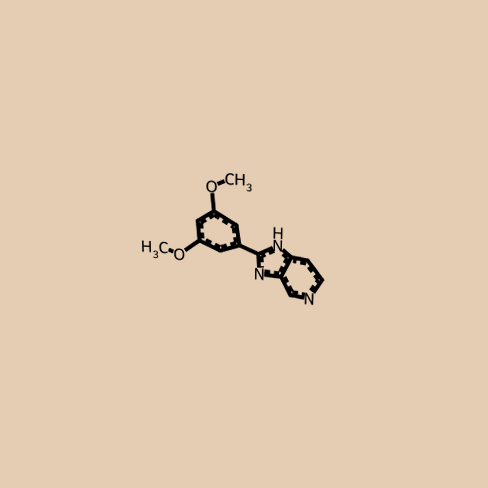 COc1cc(OC)cc(-c2nc3cnccc3[nH]2)c1